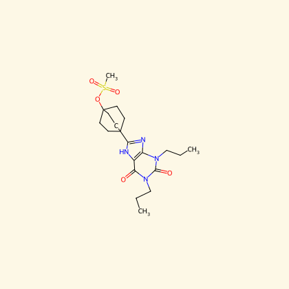 CCCn1c(=O)c2[nH]c(C34CCC(OS(C)(=O)=O)(CC3)CC4)nc2n(CCC)c1=O